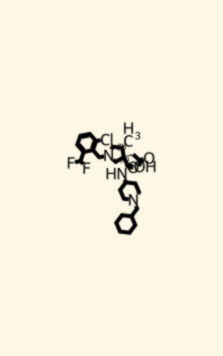 C[C@H]1CN(Cc2c(Cl)cccc2C(F)F)C[C@]1(CC(=O)O)C(=O)NC1CCN(CC2CCCCC2)CC1